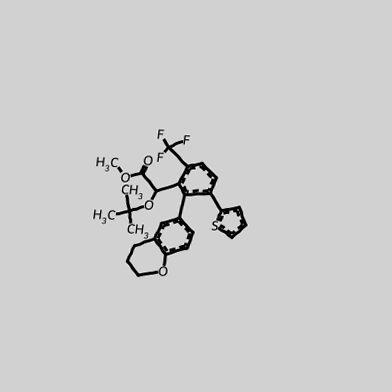 COC(=O)C(OC(C)(C)C)c1c(C(F)(F)F)ccc(-c2cccs2)c1-c1ccc2c(c1)CCCO2